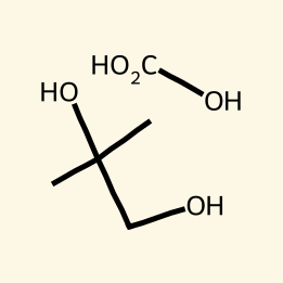 CC(C)(O)CO.O=C(O)O